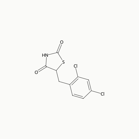 O=C1NC(=O)C(Cc2ccc(Cl)cc2Cl)S1